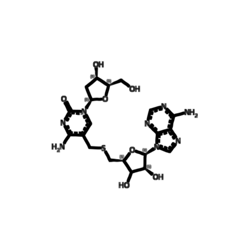 Nc1nc(=O)n([C@H]2C[C@@H](O)[C@@H](CO)O2)cc1CSC[C@H]1O[C@@H](n2cnc3c(N)ncnc32)[C@@H](O)C1O